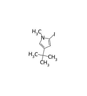 Cn1cc(C(C)(C)C)cc1I